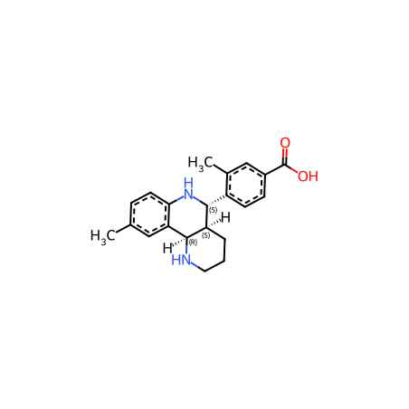 Cc1ccc2c(c1)[C@@H]1NCCC[C@@H]1[C@@H](c1ccc(C(=O)O)cc1C)N2